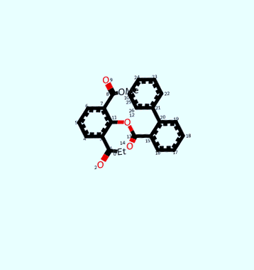 CCC(=O)c1cccc(C(=O)OC)c1OC(=O)c1ccccc1-c1ccccc1